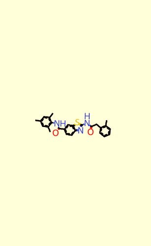 Cc1cc(C)c(NC(=O)c2ccc3nc(NC(=O)Cc4ccccc4C)sc3c2)c(C)c1